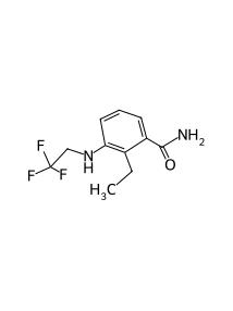 CCc1c(NCC(F)(F)F)cccc1C(N)=O